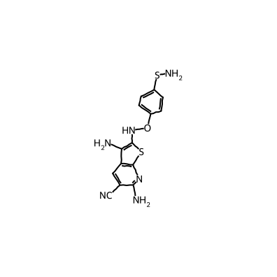 N#Cc1cc2c(N)c(NOc3ccc(SN)cc3)sc2nc1N